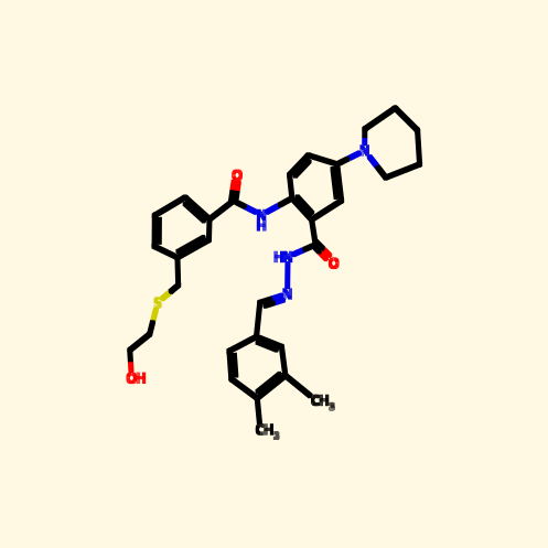 Cc1ccc(C=NNC(=O)c2cc(N3CCCCC3)ccc2NC(=O)c2cccc(CSCCO)c2)cc1C